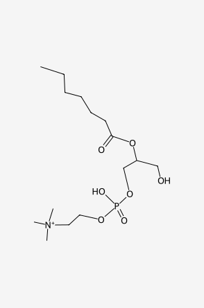 CCCCCCC(=O)OC(CO)COP(=O)(O)OCC[N+](C)(C)C